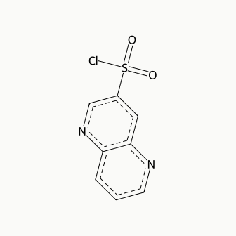 O=S(=O)(Cl)c1cnc2cccnc2c1